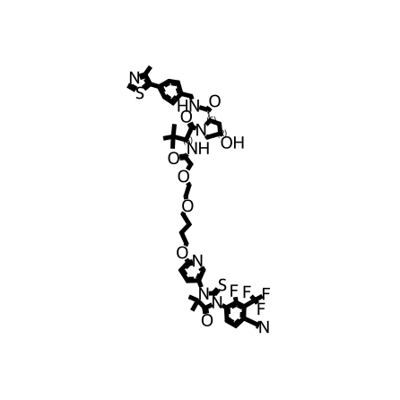 Cc1ncsc1-c1ccc(CNC(=O)[C@@H]2C[C@@H](O)CN2C(=O)[C@@H](NC(=O)COCCOCCCCOc2ccc(N3C(=S)N(c4ccc(C#N)c(C(F)(F)F)c4F)C(=O)C3(C)C)cn2)C(C)(C)C)cc1